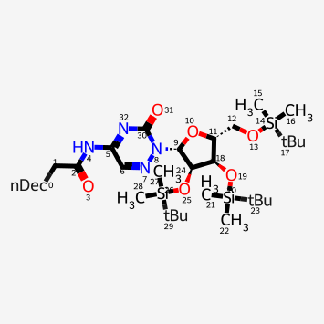 CCCCCCCCCCCC(=O)Nc1cnn([C@@H]2O[C@H](CO[Si](C)(C)C(C)(C)C)[C@@H](O[Si](C)(C)C(C)(C)C)[C@H]2O[Si](C)(C)C(C)(C)C)c(=O)n1